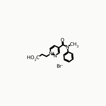 CN(C(=O)c1cc[n+](CCC(=O)O)nc1)c1ccccc1.[Br-]